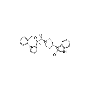 CC1(C(=O)N2CCC(n3c(=O)[nH]c4ccccc43)CC2)OCc2ccccc2-n2cccc21